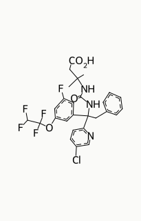 CC(C)(CC(=O)O)NC(=O)NC(Cc1ccccc1)(c1cc(F)cc(OC(F)(F)C(F)F)c1)c1ccc(Cl)cn1